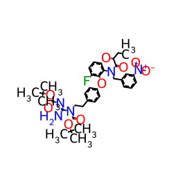 CCC1Oc2ccc(F)c(Oc3ccc(CCN(C(=O)OC(C)(C)C)C(N)=NC(=O)OC(C)(C)C)cc3)c2N(Cc2cccc([N+](=O)[O-])c2)C1=O